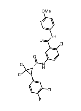 COc1ccc(NC(=O)c2cc(NC(=O)[C@@H]3[C@@H](c4ccc(F)c(Cl)c4)C3(Cl)Cl)ccc2Cl)cn1